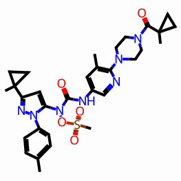 Cc1ccc(-n2nc(C3(C)CC3)cc2N(OS(C)(=O)=O)C(=O)Nc2cnc(N3CCN(C(=O)C4(C)CC4)CC3)c(C)c2)cc1